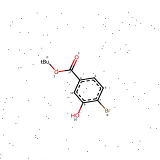 CC(C)(C)OC(=O)c1ccc(Br)c(O)c1